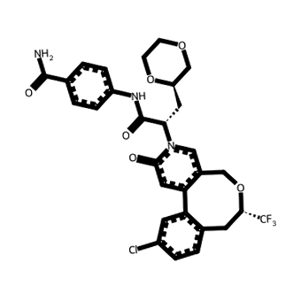 NC(=O)c1ccc(NC(=O)[C@H](C[C@@H]2COCCO2)n2cc3c(cc2=O)-c2cc(Cl)ccc2C[C@@H](C(F)(F)F)OC3)cc1